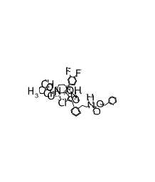 CC(C)(C)OC(=O)N1CC[C@](O)(c2ccc(F)c(F)c2)[C@@H](c2noc(-c3ccccc3CCNC(=O)OCc3ccccc3)c2Cl)C1